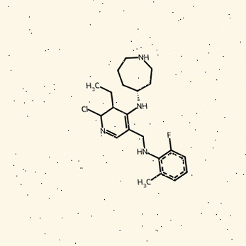 CCC1C(N[C@@H]2CCCNCC2)=C(CNc2c(C)cccc2F)C=NC1Cl